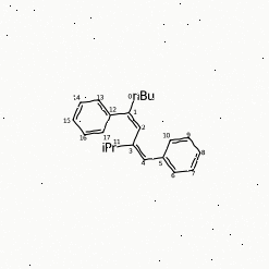 CCCCC(=CC(=Cc1ccccc1)C(C)C)c1ccccc1